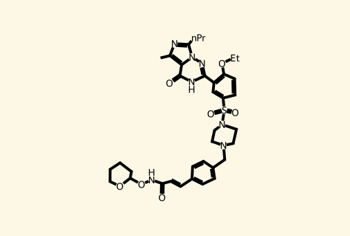 CCCc1nc(C)c2c(=O)[nH]c(-c3cc(S(=O)(=O)N4CCN(Cc5ccc(C=CC(=O)NOC6CCCCO6)cc5)CC4)ccc3OCC)nn12